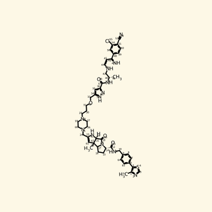 Cc1ncsc1-c1ccc(CNC(=O)[C@@H]2CCC3N2C(=O)[C@H]2NC(CN4CCN(CCCOCc5cc(C(=O)N[C@@H](C)CN/C=C\C(=N)c6ccc(C#N)c(Cl)c6)n[nH]5)CC4)=CC32C)cc1